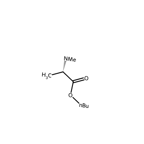 CCCCOC(=O)[C@H](C)NC